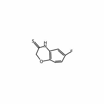 Fc1ccc2c(c1)NC(=S)CO2